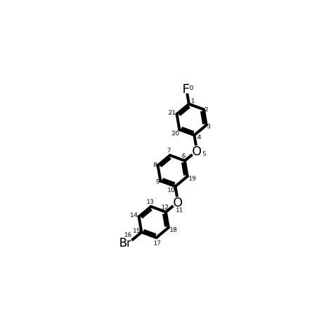 Fc1ccc(Oc2cccc(Oc3ccc(Br)cc3)c2)cc1